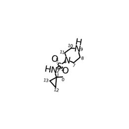 CC1(NS(=O)(=O)N2CCNCC2)CC1